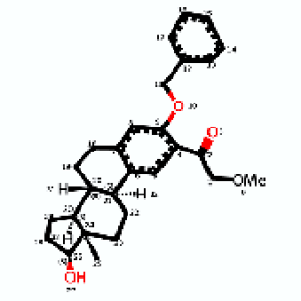 COCC(=O)c1cc2c(cc1OCc1ccccc1)CC[C@@H]1[C@@H]2CC[C@]2(C)[C@@H](O)CC[C@@H]12